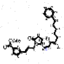 COC(=O)c1ccc(C=CCN2C(=O)CC[C@@H]2/C=C\[C@H](O)[C@@H](C)CCCCCc2ccccc2)s1